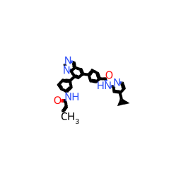 C/C=C/C(=O)Nc1cccc(-c2cc(-c3ccc(C(=O)Nc4cc(C5CC5)ccn4)cc3)cc3cncnc23)c1